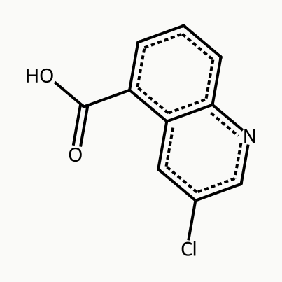 O=C(O)c1cccc2ncc(Cl)cc12